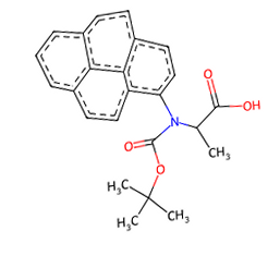 CC(C(=O)O)N(C(=O)OC(C)(C)C)c1ccc2ccc3cccc4ccc1c2c34